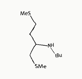 CSCCC(CSC)NC(C)(C)C